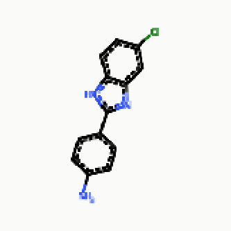 Nc1ccc(-c2nc3cc(Cl)ccc3[nH]2)cc1